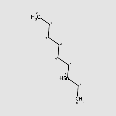 CCCCC[CH2][SnH][CH2]C